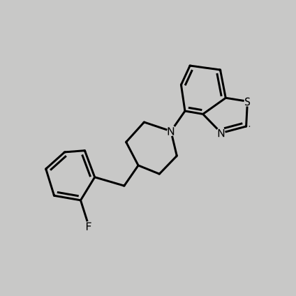 Fc1ccccc1CC1CCN(c2cccc3s[c]nc23)CC1